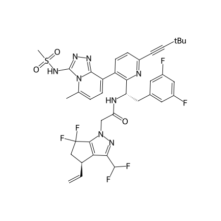 C=C[C@H]1CC(F)(F)c2c1c(C(F)F)nn2CC(=O)N[C@@H](Cc1cc(F)cc(F)c1)c1nc(C#CC(C)(C)C)ccc1-c1ccc(C)n2c(NS(C)(=O)=O)nnc12